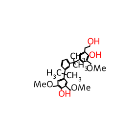 COCc1cc(C(C)(C)c2cccc(C(C)(C)c3cc(COC)c(O)c(COC)c3)c2)cc(CCO)c1O